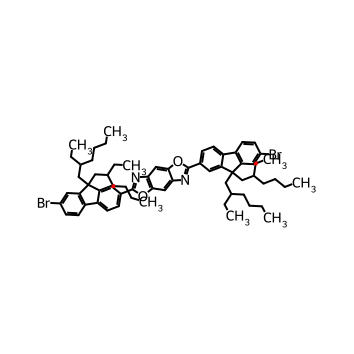 CCCCC(CC)CC1(CC(CC)CCCC)c2cc(Br)ccc2-c2ccc(-c3nc4cc5oc(-c6ccc7c(c6)C(CC(CC)CCCC)(CC(CC)CCCC)c6cc(Br)ccc6-7)nc5cc4o3)cc21